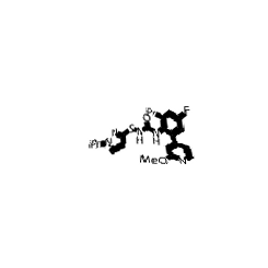 COc1cc(-c2cc(F)cc(C(C)C)c2NC(=O)NSc2ccn(C(C)C)n2)ccn1